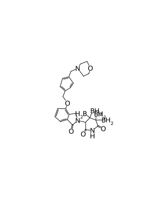 BC1(B)C(=O)NC(=O)C(N2Cc3c(OCc4ccc(CN5CCOCC5)cc4)cccc3C2=O)C1(B)B